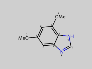 COc1cc(OC)c2[nH][c]nc2c1